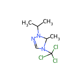 CC(C)N1N=CN(C(Cl)(Cl)Cl)C1C